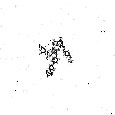 C[N+](C)(Cc1ccc(F)cc1)Cc1nnc(Cn2c(SCc3ccc(F)cc3)nc(=O)c3c2CCC3)n1Cc1ccc(-c2ccc(C(F)(F)F)cc2)cc1.[Br-]